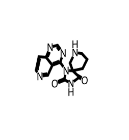 O=C1NC(=O)C2(CCCNC2)N1c1ncnc2ccncc12